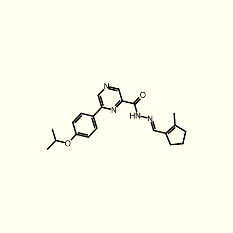 CC1=C(C=NNC(=O)c2cncc(-c3ccc(OC(C)C)cc3)n2)CCC1